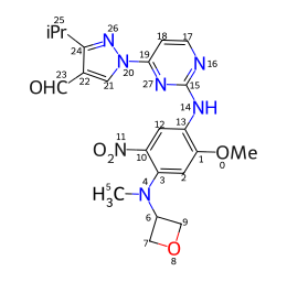 COc1cc(N(C)C2COC2)c([N+](=O)[O-])cc1Nc1nccc(-n2cc(C=O)c(C(C)C)n2)n1